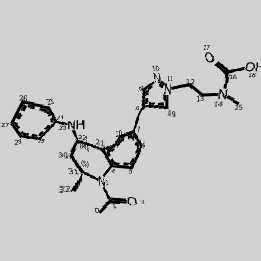 CC(=O)N1c2ccc(-c3cnn(CCN(C)C(=O)O)c3)cc2[C@H](Nc2ccccc2)C[C@@H]1C